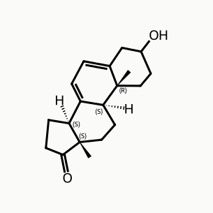 C[C@]12CCC(O)CC1=CC=C1[C@@H]2CC[C@]2(C)C(=O)CC[C@@H]12